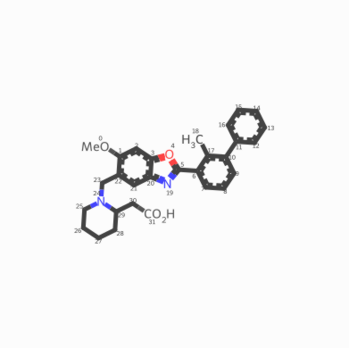 COc1cc2oc(-c3cccc(-c4ccccc4)c3C)nc2cc1CN1CCCCC1CC(=O)O